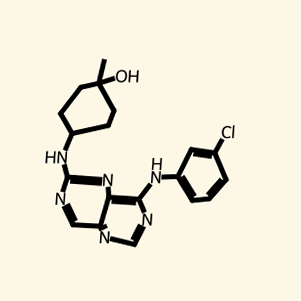 CC1(O)CCC(Nc2ncc3ncnc(Nc4cccc(Cl)c4)c3n2)CC1